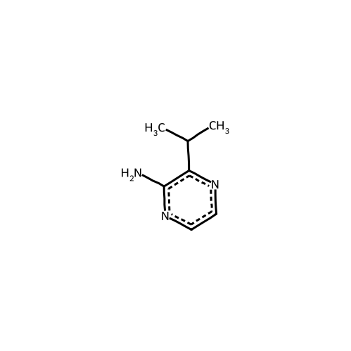 CC(C)c1nccnc1N